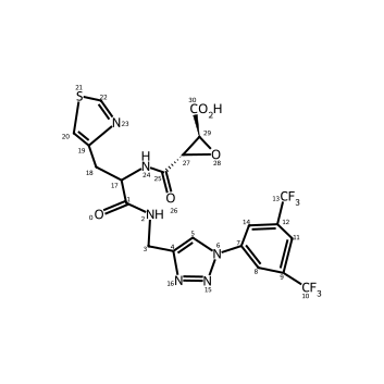 O=C(NCc1cn(-c2cc(C(F)(F)F)cc(C(F)(F)F)c2)nn1)C(Cc1cscn1)NC(=O)[C@H]1O[C@@H]1C(=O)O